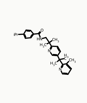 Cc1cccnc1C(C)(C)c1ccc(C(C)(C)CNC(=O)c2ccc(C(C)C)cc2)nc1